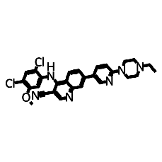 CCN1CCN(c2ccc(-c3ccc4c(Nc5cc(OC)c(Cl)cc5Cl)c(C#N)cnc4c3)cn2)CC1